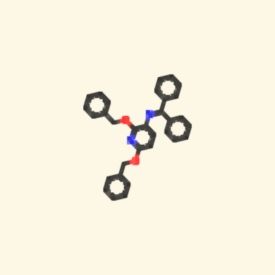 c1ccc(COc2ccc(N=C(c3ccccc3)c3ccccc3)c(OCc3ccccc3)n2)cc1